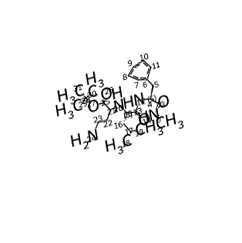 CNC(=O)[C@H](Cc1ccccc1)NC(=O)[C@H](CC(C)C)NC(CCN)C(=O)OC(C)(C)C